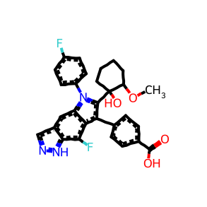 COC1CCCCC1(O)c1c(-c2ccc(C(=O)O)cc2)c2c(F)c3[nH]ncc3cc2n1-c1ccc(F)cc1